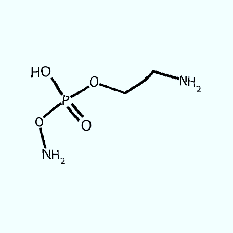 NCCOP(=O)(O)ON